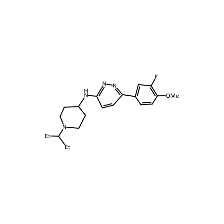 CCC(CC)N1CCC(Nc2ccc(-c3ccc(OC)c(F)c3)nn2)CC1